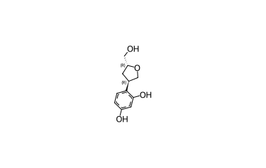 OC[C@H]1C[C@H](c2ccc(O)cc2O)CO1